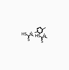 CN(C)C(=S)S.CN(C)C(=S)S.Cc1ccc(C)cc1